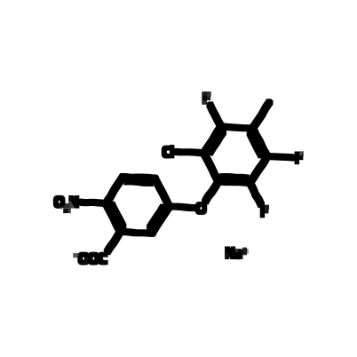 Cc1c(F)c(F)c(Oc2ccc([N+](=O)[O-])c(C(=O)[O-])c2)c(Cl)c1F.[Na+]